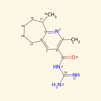 Cc1nc2c(cc1C(=O)NC(=N)N)CCCCC2C